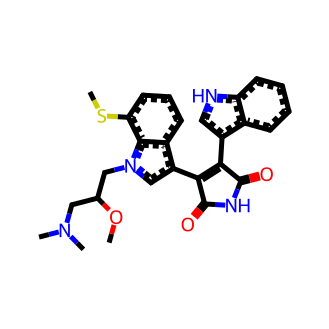 COC(CN(C)C)Cn1cc(C2=C(c3c[nH]c4ccccc34)C(=O)NC2=O)c2cccc(SC)c21